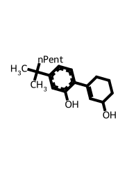 CCCCCC(C)(C)c1ccc(C2=CC(O)CCC2)c(O)c1